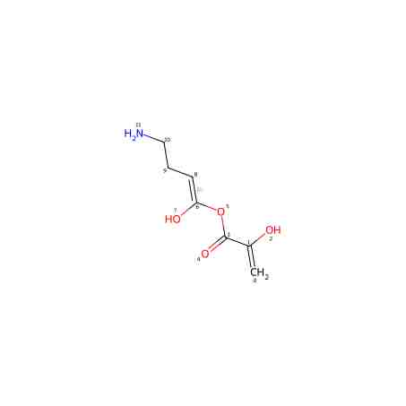 C=C(O)C(=O)O/C(O)=C/CCN